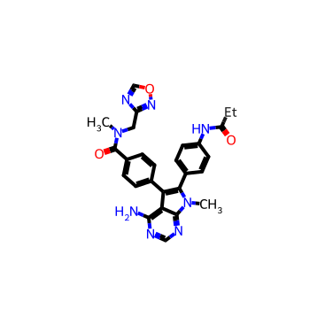 CCC(=O)Nc1ccc(-c2c(-c3ccc(C(=O)N(C)Cc4ncon4)cc3)c3c(N)ncnc3n2C)cc1